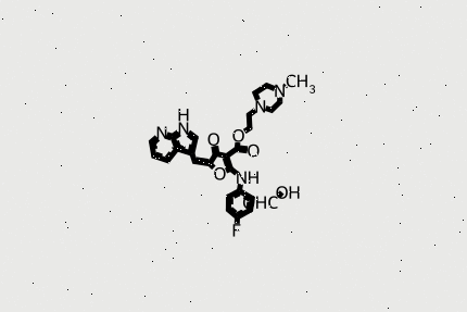 CN1CCN(CCOC(=O)C2=C(Nc3ccc(F)cc3)OC(=Cc3c[nH]c4ncccc34)C2=O)CC1.O=CO